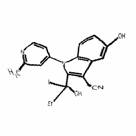 CCC(O)(I)c1c(C#N)c2cc(O)ccc2n1-c1ccnc(C)c1